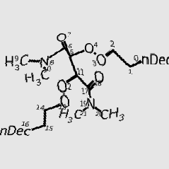 CCCCCCCCCCCCOOC(C(=O)N(C)C)C(OOCCCCCCCCCCCC)C(=O)N(C)C